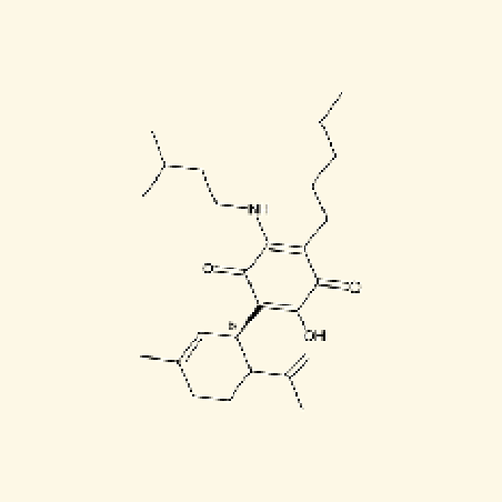 C=C(C)C1CCC(C)=C[C@H]1C1=C(O)C(=O)C(CCCCC)=C(NCCC(C)C)C1=O